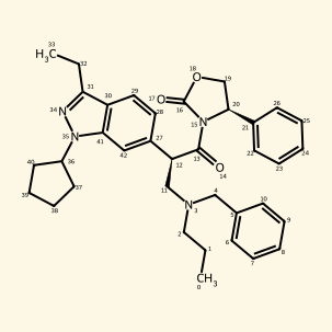 CCCN(Cc1ccccc1)C[C@H](C(=O)N1C(=O)OC[C@H]1c1ccccc1)c1ccc2c(CC)nn(C3CCCC3)c2c1